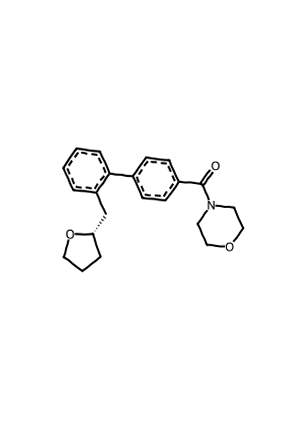 O=C(c1ccc(-c2ccccc2C[C@@H]2CCCO2)cc1)N1CCOCC1